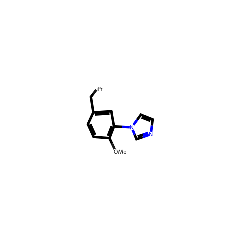 COc1ccc(CC(C)C)cc1-n1ccnc1